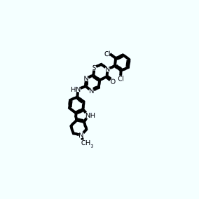 CN1CCc2c([nH]c3cc(Nc4ncc5c(n4)SCN(c4c(Cl)cccc4Cl)C5=O)ccc23)C1